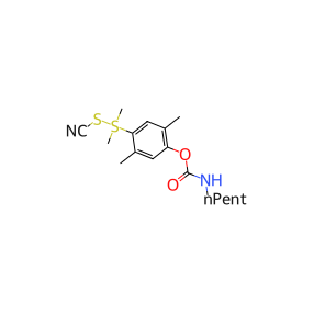 CCCCCNC(=O)Oc1cc(C)c(S(C)(C)SC#N)cc1C